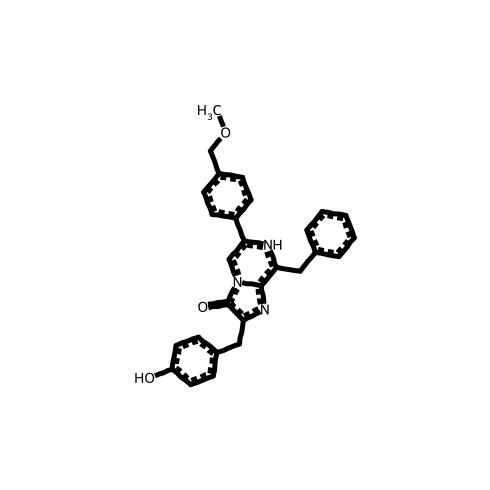 COCc1ccc(-c2cn3c(=O)c(Cc4ccc(O)cc4)nc-3c(Cc3ccccc3)[nH]2)cc1